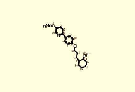 CCCCCCCCCc1cnc(-c2ccc(OCCCC3CCCCC3CCC)cc2)nc1